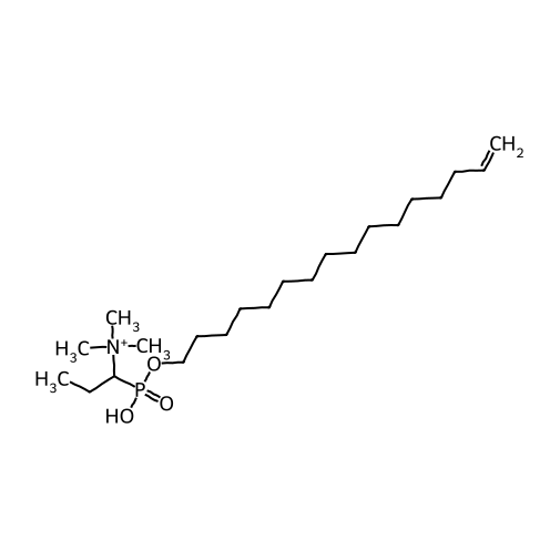 C=CCCCCCCCCCCCCCCOP(=O)(O)C(CC)[N+](C)(C)C